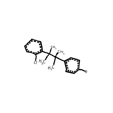 CC(C)(c1ccc(F)cc1)C(C)(C)c1ccccc1Cl